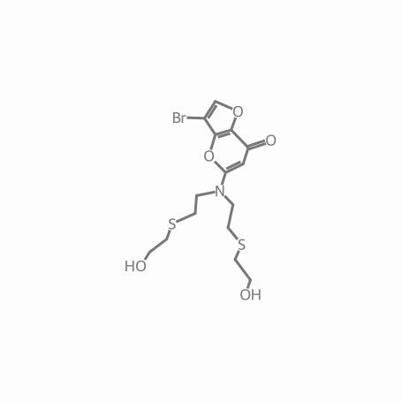 O=c1cc(N(CCSCCO)CCSCCO)oc2c(Br)coc12